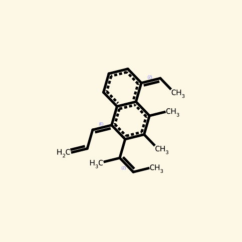 C=C/C=c1\c(/C(C)=C\C)c(C)c(C)c2/c(=C\C)cccc12